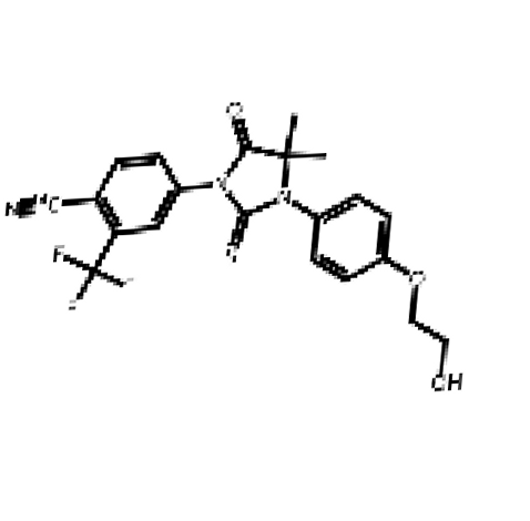 CC1(C)C(=O)N(c2ccc([14C]#N)c(C(F)(F)F)c2)C(=S)N1c1ccc(OCCO)cc1